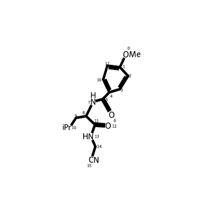 COc1ccc(C(=O)NC(CC(C)C)C(=O)NCC#N)cc1